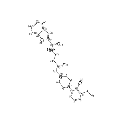 CCc1cccc(N2CCN(C[C@@H](F)CCNC(=O)c3cc4ccccc4o3)CC2)c1Cl